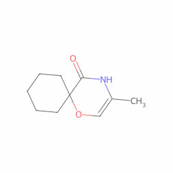 CC1=COC2(CCCCC2)C(=O)N1